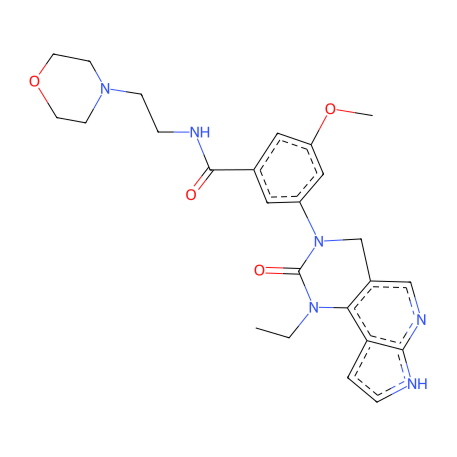 CCN1C(=O)N(c2cc(OC)cc(C(=O)NCCN3CCOCC3)c2)Cc2cnc3[nH]ccc3c21